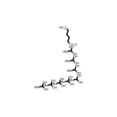 CCCCC(O)O.CCCCC(O)O.CCCCC(O)O.CCCCC(O)O.CCCCC(O)O.CCCCC(O)O.CCCCC(O)O.CCCCC(O)O.O=C(O)CCCCC(=O)O